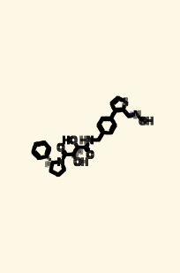 O=C(NCc1ccc(-c2ccsc2/C=N/O)cc1)[C@H](O)[C@@H](O)C(=O)N1CCC[C@@H]1c1ccccc1